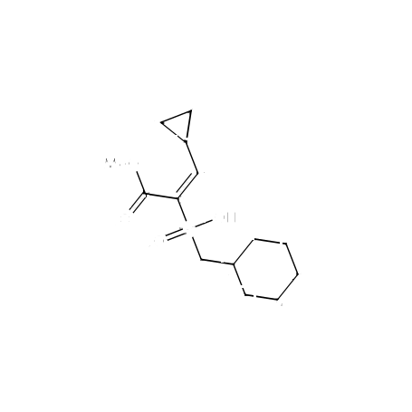 COC(=O)C(=CC1CC1)P(=O)(O)CC1CCCCC1